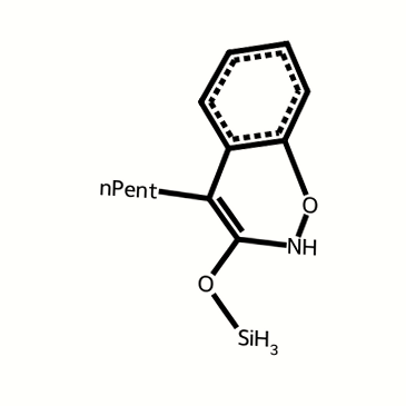 CCCCCC1=C(O[SiH3])NOc2ccccc21